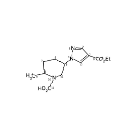 CCOC(=O)c1cnn(C2CCC(C)N(C(=O)O)C2)c1